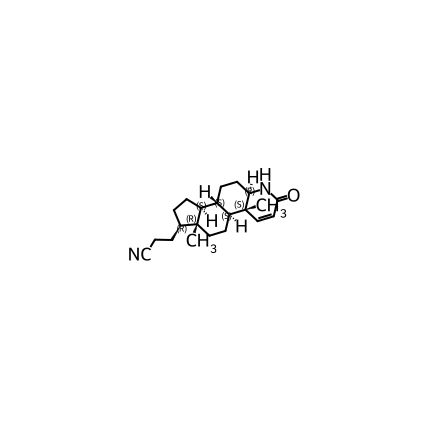 C[C@]12C=CC(=O)N[C@@H]1CC[C@@H]1[C@@H]2CC[C@]2(C)[C@@H](CCC#N)CC[C@@H]12